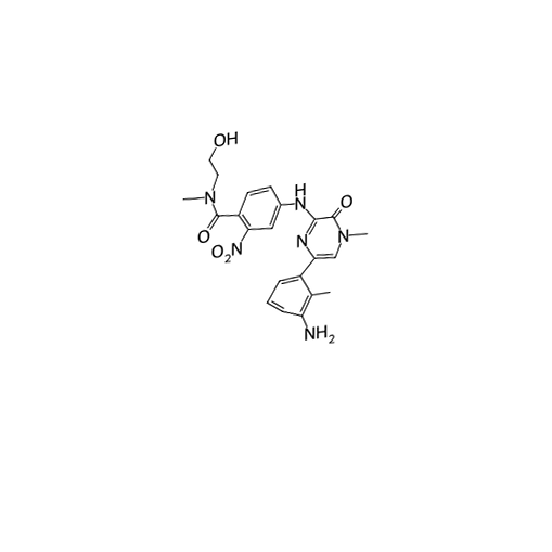 Cc1c(N)cccc1-c1cn(C)c(=O)c(Nc2ccc(C(=O)N(C)CCO)c([N+](=O)[O-])c2)n1